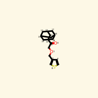 O=C(COCc1ccsc1)C12CC3CC(CC(C3)C1)C2